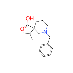 CC(C)C1(C(=O)O)CCCN(Cc2ccccc2)C1